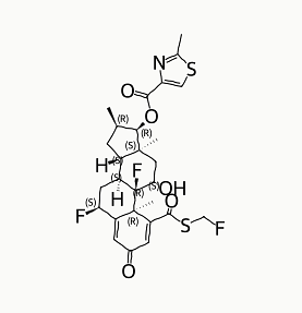 Cc1nc(C(=O)O[C@@H]2[C@H](C)C[C@H]3[C@@H]4C[C@H](F)C5=CC(=O)C=C(C(=O)SCF)[C@]5(C)[C@@]4(F)[C@@H](O)C[C@]23C)cs1